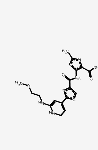 COCCNC1=CC(c2nc(C(=O)Nc3sc(C)nc3C(N)=O)co2)=CCN1